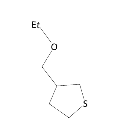 CCOCC1CCSC1